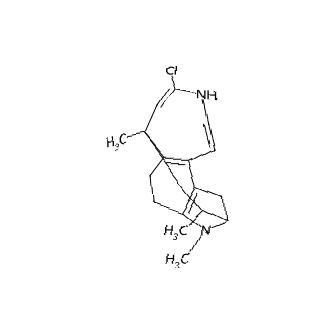 CC1C2CC3=C(CCC4=C3/C=C\N/C(Cl)=C\C41C)N2C